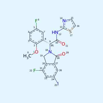 COc1ccc(F)cc1[C@H](C(=O)Nc1nccs1)N1Cc2c(F)cc(I)cc2C1=O